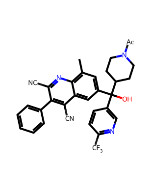 CC(=O)N1CCC(C(O)(c2ccc(C(F)(F)F)nc2)c2cc(C)c3nc(C#N)c(-c4ccccc4)c(C#N)c3c2)CC1